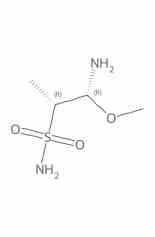 CO[C@@H](N)[C@@H](C)S(N)(=O)=O